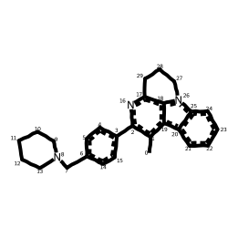 Cc1c(-c2ccc(CN3CCCCC3)cc2)nc2c3c1c1ccccc1n3CCC2